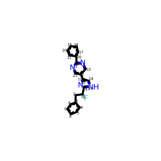 FC(Cc1ccccc1)c1nc(-c2cnc(-c3ccccc3)nc2)c[nH]1